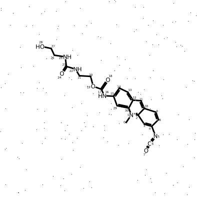 C[n+]1c2cc(N=C=O)ccc2cc2ccc(NC(=O)OCCNC(=O)NCCO)cc21